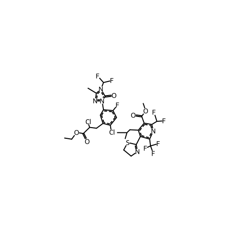 CCOC(=O)C(Cl)Cc1cc(-n2nc(C)n(C(F)F)c2=O)c(F)cc1Cl.COC(=O)c1c(C(F)F)nc(C(F)(F)F)c(C2=NCCS2)c1CC(C)C